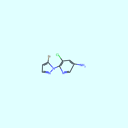 Nc1cnc(-n2nccc2Br)c(Cl)c1